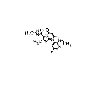 CCNC(=O)c1c(C)sc2nc(CN(CC)c3ccc(F)cn3)cc(=O)n12